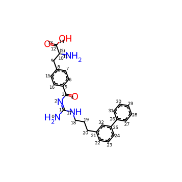 NC(=NC(=O)c1ccc(C[C@H](N)C(=O)O)cc1)NCCCc1cccc(-c2ccccc2)c1